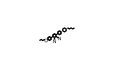 CCCCC[C@H]1CC[C@H](c2ccc(-c3ccc(-c4ccc(OCCCC)cc4)c(C#N)c3C#N)cc2)CC1